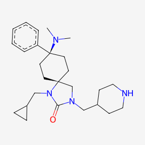 CN(C)[C@]1(c2ccccc2)CC[C@@]2(CC1)CN(CC1CCNCC1)C(=O)N2CC1CC1